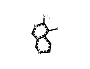 Nc1ncc2cnccc2c1I